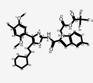 COc1cc(-c2nc(NC(=O)c3cc4cc(C)ccc4n3CC(=O)OC(=O)C(F)(F)F)sc2CCC2CCCCC2)c(OC)cc1C